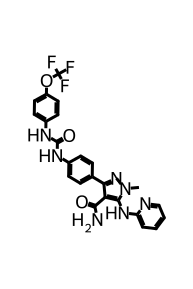 Cn1nc(-c2ccc(NC(=O)Nc3ccc(OC(F)(F)F)cc3)cc2)c(C(N)=O)c1Nc1ccccn1